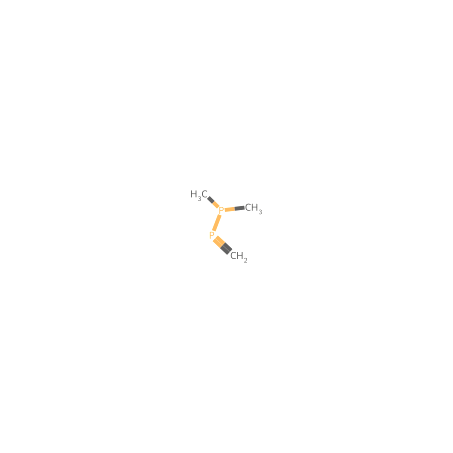 C=PP(C)C